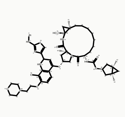 CC(C)Nc1nc(C2C=C(O[C@@H]3C[C@H]4C(=O)N[C@]5(C(=O)O)C[C@H]5CCCCCCC[C@H](NC(=O)O[C@@H]5C[C@@H]6C[C@@H]6C5)C(=O)N4C3)c3ccc(OCCN4CCOCC4)c(Cl)c3N2)cs1